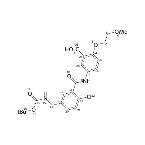 COCCOc1ccc(NC(=O)c2cc(CNC(=O)OC(C)(C)C)ccc2Cl)cc1C(=O)O